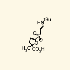 CC(C)(C)NC=CCS(=O)(=O)C1=CCC(C)(C(=O)O)O1